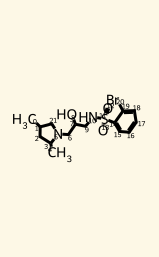 CC1CC(C)N(CC(O)CNS(=O)(=O)c2ccccc2Br)C1